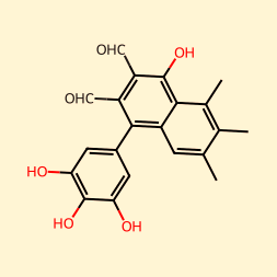 Cc1cc2c(-c3cc(O)c(O)c(O)c3)c(C=O)c(C=O)c(O)c2c(C)c1C